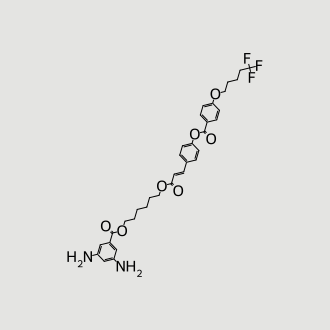 Nc1cc(N)cc(C(=O)OCCCCCCOC(=O)C=Cc2ccc(OC(=O)c3ccc(OCCCCC(F)(F)F)cc3)cc2)c1